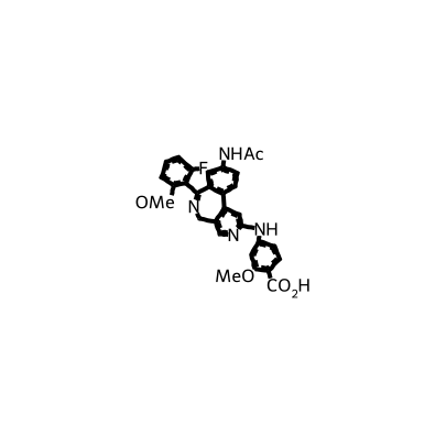 COc1cc(Nc2cc3c(cn2)CN=C(c2c(F)cccc2OC)c2cc(NC(C)=O)ccc2-3)ccc1C(=O)O